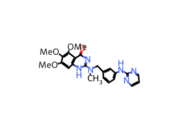 COc1cc2[nH]c(N(C)Cc3cccc(Nc4ncccn4)c3)nc(=O)c2c(OC)c1OC